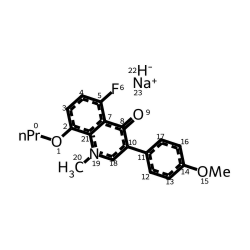 CCCOc1ccc(F)c2c(=O)c(-c3ccc(OC)cc3)cn(C)c12.[H-].[Na+]